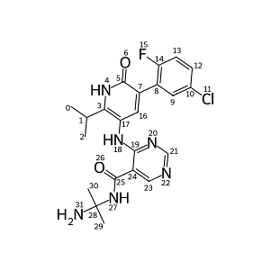 CC(C)c1[nH]c(=O)c(-c2cc(Cl)ccc2F)cc1Nc1ncncc1C(=O)NC(C)(C)N